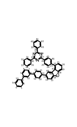 c1ccc(-c2cccc(-c3ccc(-c4ccc5oc6cccc(-c7ccc(-c8nc(-c9ccccc9)nc(-c9ccccc9)n8)cc7)c6c5c4)cc3)c2)cc1